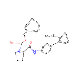 COc1ccccc1-c1ccc(NC(=O)C2CCCN2C(=O)OCc2ccccc2)cc1